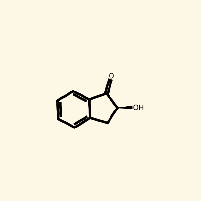 O=C1c2ccccc2C[C@@H]1O